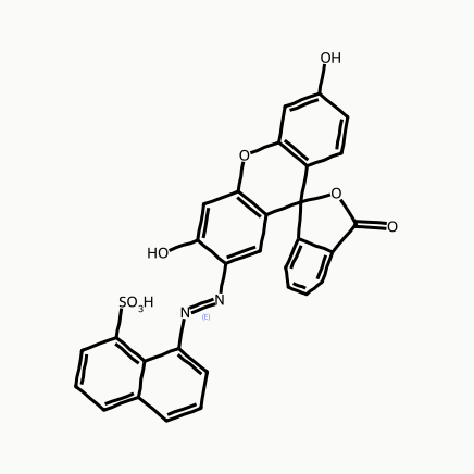 O=C1OC2(c3ccc(O)cc3Oc3cc(O)c(/N=N/c4cccc5cccc(S(=O)(=O)O)c45)cc32)c2ccccc21